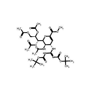 COC(=O)C1=C[C@H](N/C(=N\C(=O)OC(C)(C)C)NC(=O)OC(C)(C)C)[C@@H](NC(C)=O)C([C@H](OC(C)=O)[C@@H](COC(C)=O)OC(C)=O)O1